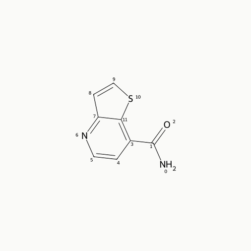 NC(=O)c1ccnc2ccsc12